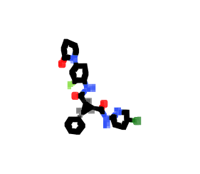 O=C(Nc1ccc(Cl)cn1)[C@@H]1[C@H](C(=O)Nc2ccc(-n3ccccc3=O)cc2F)[C@H]1c1ccccc1